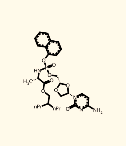 CCCC(CCC)COC(=O)[C@H](C)NP(=O)(OC[C@H]1OC[C@@H](n2ccc(N)nc2=O)O1)Oc1cccc2ccccc12